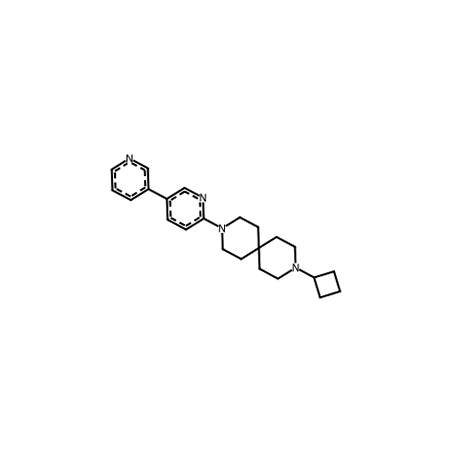 c1cncc(-c2ccc(N3CCC4(CC3)CCN(C3CCC3)CC4)nc2)c1